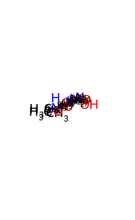 CC(C)(C)CCNC(=O)c1ccc(OC(=O)N2CCN(Cc3ccc(C(=O)O)cn3)CC2)cc1